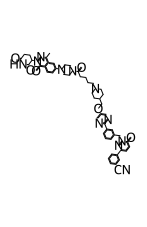 Cc1nn(C2CCC(=O)NC2=O)c(=O)c2ccc(N3CCN(C(=O)CCCCN4CCC(COc5cnc(-c6cccc(Cn7nc(-c8cccc(C#N)c8)ccc7=O)c6)nc5)CC4)CC3)cc12